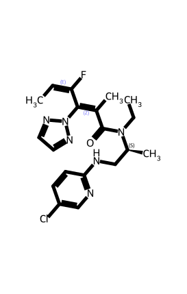 C/C=C(F)\C(=C(/C)C(=O)N(CC)[C@@H](C)CNc1ccc(Cl)cn1)n1nccn1